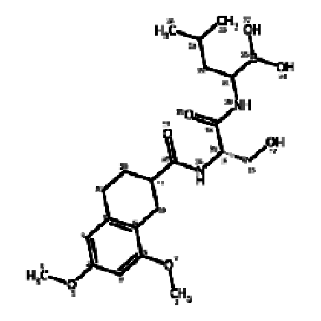 COc1cc2c(c(OC)c1)CC(C(=O)N[C@@H](CO)C(=O)NC(CC(C)C)B(O)O)CC2